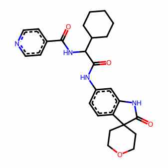 O=C(NC(C(=O)Nc1ccc2c(c1)NC(=O)C21CCOCC1)C1CCCCC1)c1ccncc1